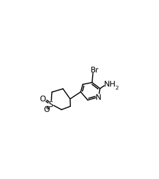 Nc1ncc(C2CCS(=O)(=O)CC2)cc1Br